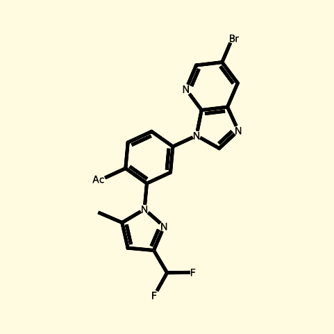 CC(=O)c1ccc(-n2cnc3cc(Br)cnc32)cc1-n1nc(C(F)F)cc1C